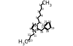 CCCCCCCn1cc[n+](CCCC)c1Cc1ccccc1